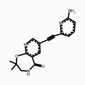 CC1(C)CNC(=O)c2cc(C#Cc3cccc(N)n3)cnc2O1